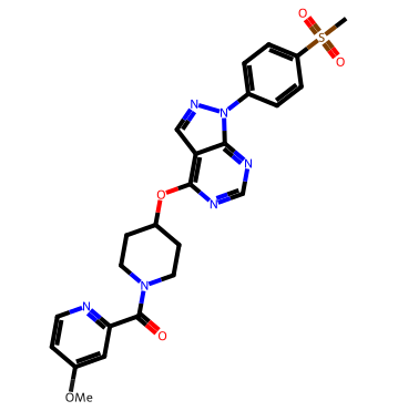 COc1ccnc(C(=O)N2CCC(Oc3ncnc4c3cnn4-c3ccc(S(C)(=O)=O)cc3)CC2)c1